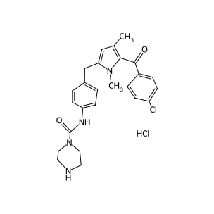 Cc1cc(Cc2ccc(NC(=O)N3CCNCC3)cc2)n(C)c1C(=O)c1ccc(Cl)cc1.Cl